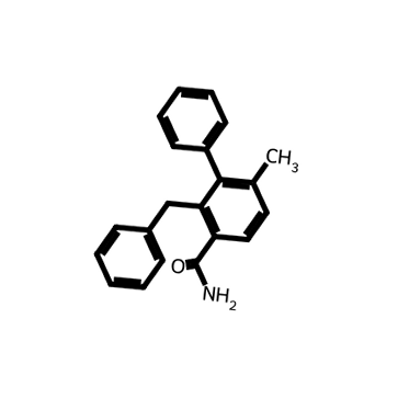 Cc1ccc(C(N)=O)c(Cc2ccccc2)c1-c1ccccc1